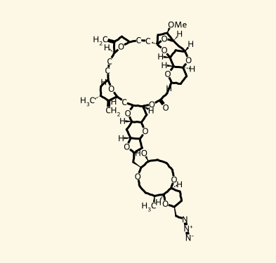 C=C1CC2CC[C@]34C[C@@H](OC)[C@H](O3)[C@H]3C[C@@H](O4)[C@H]4O[C@H](CC[C@@H]4O3)CC(=O)O[C@@H]3CC4OC5CC(C[C@@H]6OCC[C@H](C)[C@@H]7O[C@H](CN=[N+]=[N-])CC[C@@H]7OCCC[C@@H]6O)O[C@@H]5C[C@@H]4OC3C[C@H]3O[C@@H](CC[C@@H]1O2)C[C@@H](C)C3=C